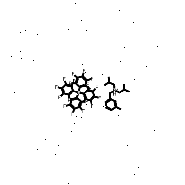 Cc1cccc(C[NH+](CC(C)C)CC(C)C)c1.Fc1c(F)c(F)c([B-](c2c(F)c(F)c(F)c(F)c2F)(c2c(F)c(F)c(F)c(F)c2F)c2c(F)c(F)c(F)c(F)c2F)c(F)c1F